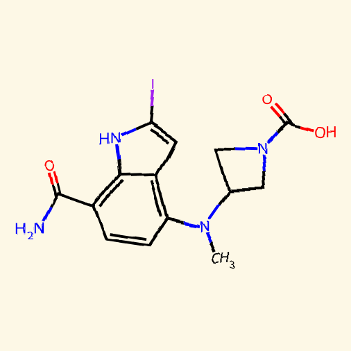 CN(c1ccc(C(N)=O)c2[nH]c(I)cc12)C1CN(C(=O)O)C1